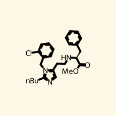 CCCCc1ncc(CCN[C@@H](Cc2ccccc2)C(=O)OC)n1Cc1ccccc1Cl